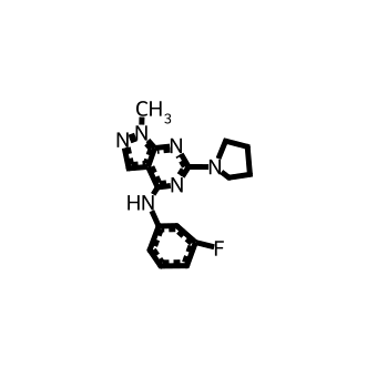 Cn1ncc2c(Nc3cccc(F)c3)nc(N3CCCC3)nc21